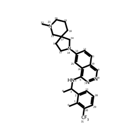 Cc1c(C(C)Nc2nncc3ccc(N4CCC5(CCCN(C)C5)C4)cc23)cccc1C(F)(F)F